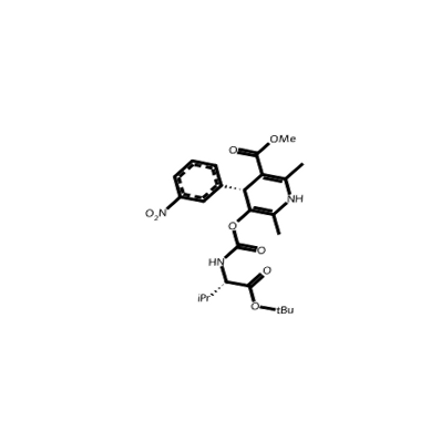 COC(=O)C1=C(C)NC(C)=C(OC(=O)N[C@H](C(=O)OC(C)(C)C)C(C)C)[C@@H]1c1cccc([N+](=O)[O-])c1